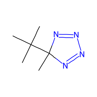 CC(C)(C)C1(C)N=NN=N1